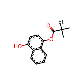 CCC(C)(C)C(=O)Oc1ccc(O)c2ccccc12